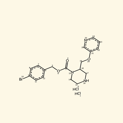 Cl.Cl.O=C(OCc1ccc(Br)cc1)N1CCNCC1COc1cccnc1